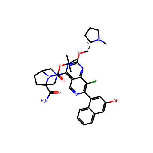 CN1CCC[C@H]1COc1nc(N2CC3CCC(C(N)=O)(C2)N3C(=O)OC(C)(C)C)c2cnc(-c3cc(O)cc4ccccc34)c(F)c2n1